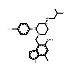 COc1cc(C)c2[nH]ccc2c1CN1CC[C@H](NCC(F)F)C[C@@H]1c1ccc(C(=O)O)cc1